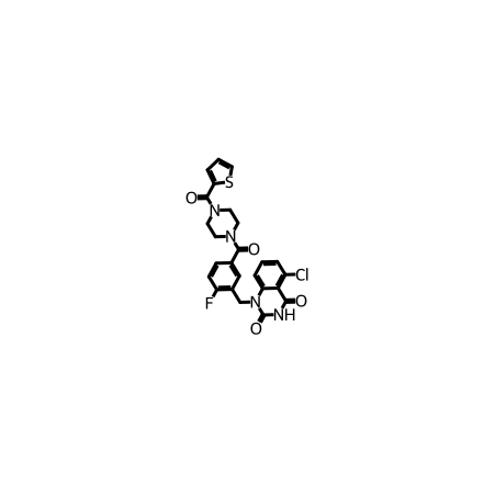 O=C(c1ccc(F)c(Cn2c(=O)[nH]c(=O)c3c(Cl)cccc32)c1)N1CCN(C(=O)c2cccs2)CC1